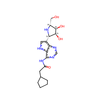 O=C(CC1CCCC1)Nc1ncnc2c([C@@H]3N[C@H](CO)[C@@H](O)[C@H]3O)c[nH]c12